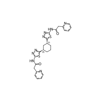 O=C(Cc1ccccn1)Nc1nnc([C@@H]2CCC[C@H](c3nnc(NC(=O)Cc4ccccn4)s3)C2)s1